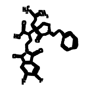 CC(C)CC1(C(CCN2C(=O)c3cc(F)c(F)cc3C2=O)C(=O)O)CCN(CCc2ccccc2)C1=O